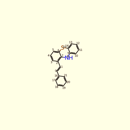 C(=Cc1cccc2c1Nc1ccccc1S2)c1ccccc1